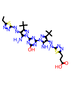 CCc1nnc(N=Nc2c(C(C)(C)C)nn(-c3nc(O)nc(-n4nc(C(C)(C)C)c(N=Nc5nnc(CCC(=O)O)s5)c4N)n3)c2N)s1